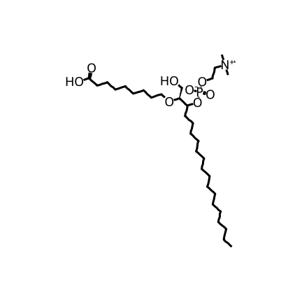 CCCCCCCCCCCCCCCCC(OP(=O)([O-])OCC[N+](C)(C)C)[C@H](CO)OCCCCCCCCC(=O)O